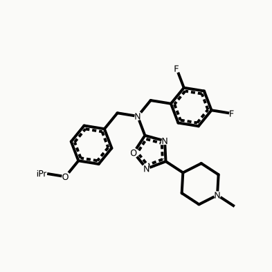 CC(C)Oc1ccc(CN(Cc2ccc(F)cc2F)c2nc(C3CCN(C)CC3)no2)cc1